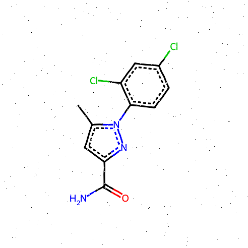 Cc1cc(C(N)=O)nn1-c1ccc(Cl)cc1Cl